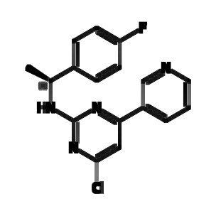 C[C@H](Nc1nc(Cl)cc(-c2cccnc2)n1)c1ccc(F)cc1